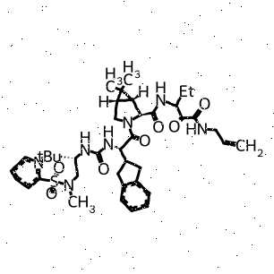 C=CCNC(=O)C(=O)C(CC)NC(=O)[C@@H]1[C@@H]2[C@H](CN1C(=O)[C@@H](NC(=O)N[C@H](CN(C)S(=O)(=O)c1ccccn1)C(C)(C)C)C1Cc3ccccc3C1)C2(C)C